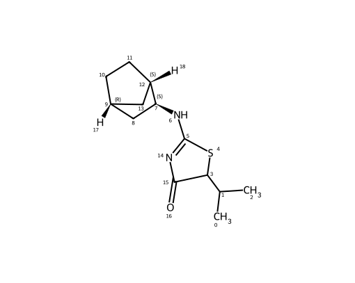 CC(C)C1SC(N[C@H]2C[C@@H]3CC[C@H]2C3)=NC1=O